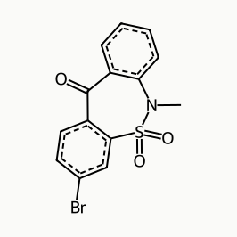 CN1c2ccccc2C(=O)c2ccc(Br)cc2S1(=O)=O